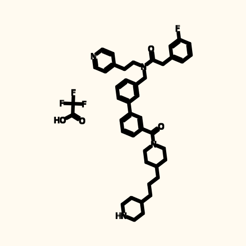 O=C(Cc1cccc(F)c1)N(CCc1ccncc1)Cc1cccc(-c2cccc(C(=O)N3CCC(CCCC4CCNCC4)CC3)c2)c1.O=C(O)C(F)(F)F